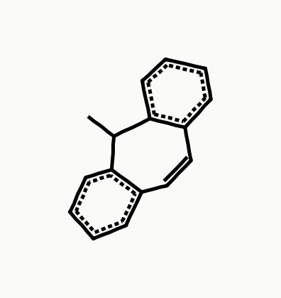 CC1c2ccccc2C=Cc2ccccc21